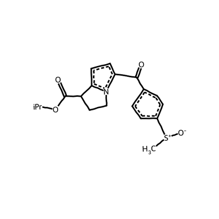 CC(C)OC(=O)C1CCn2c(C(=O)c3ccc([S+](C)[O-])cc3)ccc21